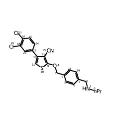 CCCNCc1ccc(COc2scc(-c3ccc(Cl)c(Cl)c3)c2C#N)cc1